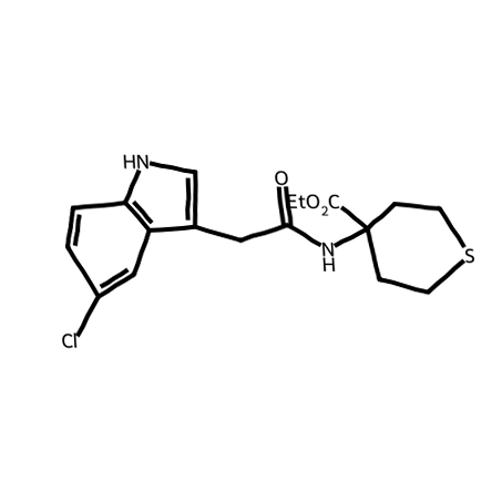 CCOC(=O)C1(NC(=O)Cc2c[nH]c3ccc(Cl)cc23)CCSCC1